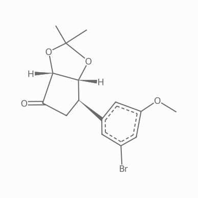 COc1cc(Br)cc([C@H]2CC(=O)[C@@H]3OC(C)(C)O[C@H]23)c1